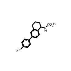 CCCc1ccc(-c2ccc3c(c2)CCCC3NC(=O)O)cc1